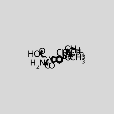 Cc1c(B2OC(C)(C)C(C)(C)O2)ccc2c1CN([C@@H](CCC(=O)O)C(N)=O)C2=O